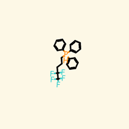 FC(F)(F)C(F)(F)CCC[PH](c1ccccc1)(c1ccccc1)c1ccccc1